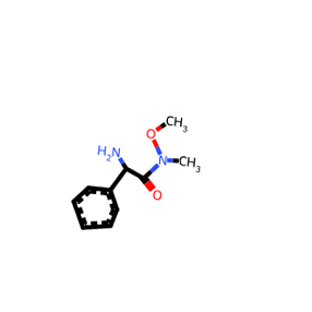 CON(C)C(=O)C(N)c1ccccc1